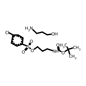 CC(C)(C)OC(=O)NCCCOS(=O)(=O)c1ccc(Cl)cc1.NCCCO